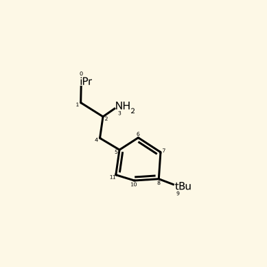 CC(C)CC(N)Cc1ccc(C(C)(C)C)cc1